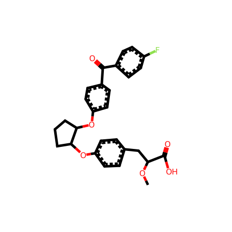 COC(Cc1ccc(OC2CCCC2Oc2ccc(C(=O)c3ccc(F)cc3)cc2)cc1)C(=O)O